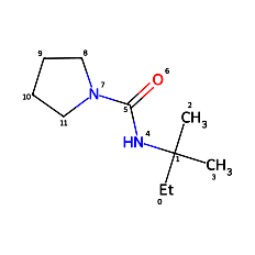 CCC(C)(C)NC(=O)N1CCCC1